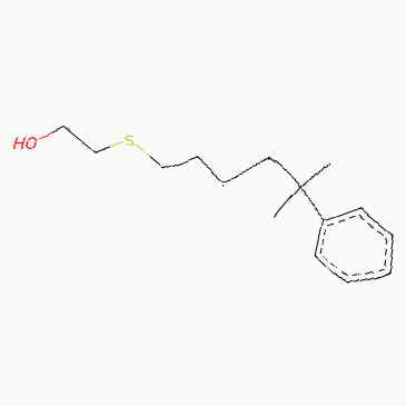 CC(C)(C[CH]CCSCCO)c1ccccc1